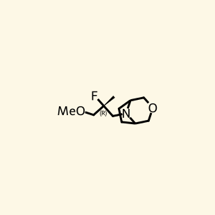 COC[C@](C)(F)CN1C2CCC1COC2